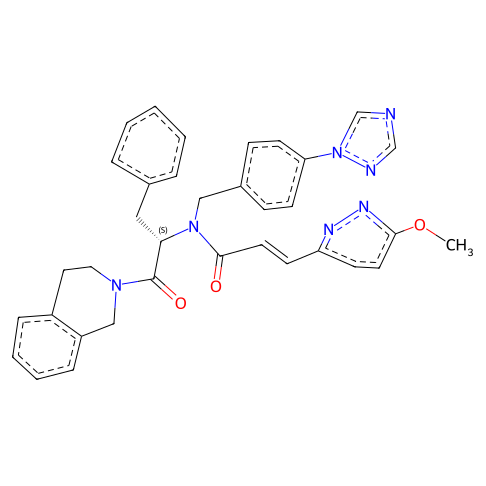 COc1ccc(C=CC(=O)N(Cc2ccc(-n3cncn3)cc2)[C@@H](Cc2ccccc2)C(=O)N2CCc3ccccc3C2)nn1